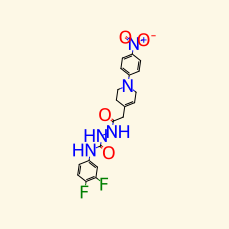 O=C(CC1=CCN(c2ccc([N+](=O)[O-])cc2)CC1)NNC(=O)Nc1ccc(F)c(F)c1